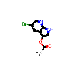 CC(=O)Oc1c[nH]c2ncc(Br)cc12